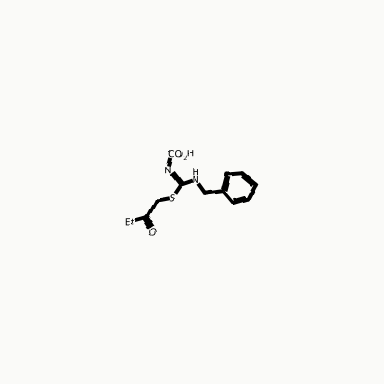 CCC(=O)CS/C(=N/C(=O)O)NCc1ccccc1